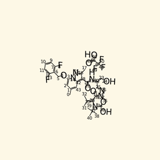 Cc1cc(OCc2c(F)cccc2F)n2nc(C)c(C(=O)N[C@@H](CO)c3nnc([C@H](C(C)C)N(C(=O)O)C(C)(C)C)o3)c2c1.O=C(O)C(F)(F)F